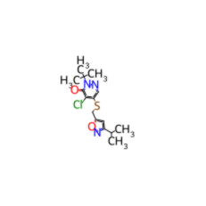 CC(C)c1cc(CSc2cnn(C(C)(C)C)c(=O)c2Cl)on1